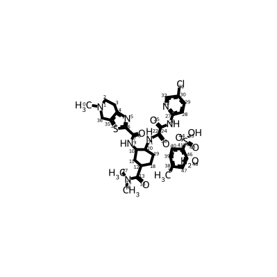 CN1CCc2nc(C(=O)NC3CC(C(=O)N(C)C)CCC3NC(=O)C(=O)Nc3ccc(Cl)cn3)sc2C1.Cc1ccc(S(=O)(=O)O)cc1.O